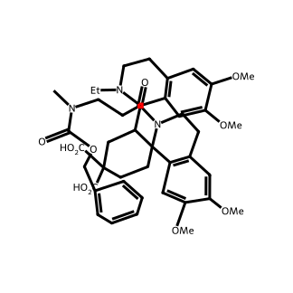 CCN1CCc2cc(OC)c(OC)cc2C1C1CC(C(=O)O)(C(=O)O)CCC12c1cc(OC)c(OC)cc1CCN2C(=O)CCN(C)C(=O)OCc1ccccc1